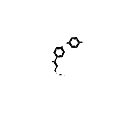 CCCN(CC=C(C)c1ccc(Oc2ccc(Cl)cc2)cc1)CCC